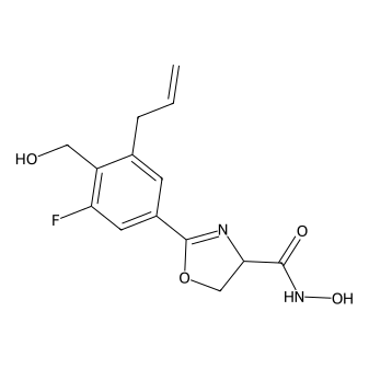 C=CCc1cc(C2=NC(C(=O)NO)CO2)cc(F)c1CO